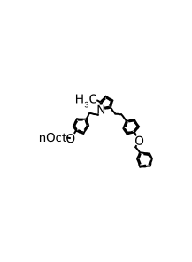 CCCCCCCCOc1ccc(CCn2c(C)ccc2CCc2ccc(OCc3ccccc3)cc2)cc1